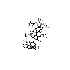 CC(=O)C[C@@H](OC(=O)[C@H](OC(C)=O)[C@@H](C)C(=O)OC1=CC[C@@]2(O)[C@H]3Cc4ccc(CO)c5c4[C@@]2(CCN3C)[C@H]1O5)C(=O)OC(C)(C)C